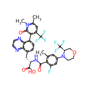 Cc1cc(N2CCOC[C@@H]2C(F)(F)F)cc(F)c1C(=O)N[C@@H](Cc1ccc(-c2c(C(F)(F)F)cc(C)n(C)c2=O)c2nccnc12)C(=O)O